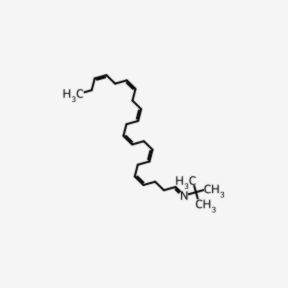 CC/C=C\C/C=C\C/C=C\C/C=C\C/C=C\C/C=C\CC/C=N/C(C)(C)C